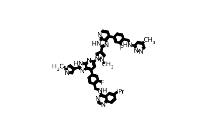 Cc1cnnc(NCc2ccc(-c3ccnc4[nH]c(-c5cn(C)[n+](-c6cc(-c7ccc(CNc8ncnc9ccc(C(C)C)cc89)c(F)c7)c7nc(-c8cnn(C)c8)[nH]c7n6)c5)nc34)cc2F)c1